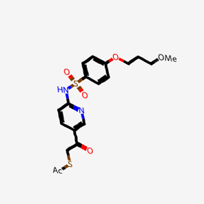 COCCCOc1ccc(S(=O)(=O)Nc2ccc(C(=O)CSC(C)=O)cn2)cc1